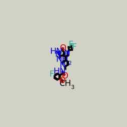 COc1ccc(F)cc1C(=O)NCc1ccc(-c2cn(C3CC(F)(F)C3)c3c(=O)[nH]nc(N)c23)cn1